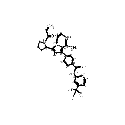 C=CC(=O)N1CCCC1c1nc(-c2ccc(C(=O)Nc3cc(C(F)(F)F)ccn3)cc2)c2c(C)nccn12